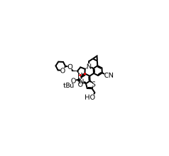 CC(C)(C)OC(=O)N1C[C@@H](N2CC3CC3c3cc(C#N)cc(-c4ccnc5cc(CO)sc45)c32)C[C@@H]1COC1CCCCO1